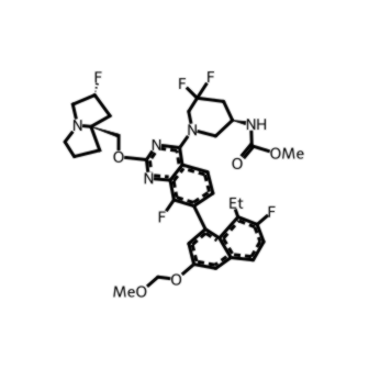 CCc1c(F)ccc2cc(OCOC)cc(-c3ccc4c(N5C[C@H](NC(=O)OC)CC(F)(F)C5)nc(OC[C@@]56CCCN5C[C@H](F)C6)nc4c3F)c12